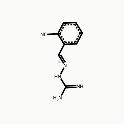 N#Cc1ccccc1/C=N/NC(=N)N